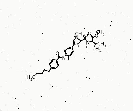 CCCCCc1ccc(C(=O)Nc2ccc(C3=CN(C)C(C(=O)NC(C(=O)OC)C(C)C)S3)cc2)cc1